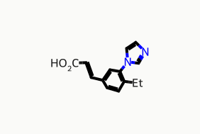 CCc1ccc(C=CC(=O)O)cc1-n1ccnc1